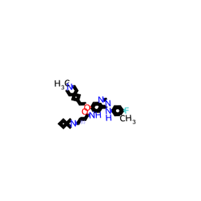 Cc1cc(Nc2ncnc3cc(OCCC4CC5(CCN(C)CC5)C4)c(NC(=O)/C=C/CN4CC5(CCC5)C4)cc23)ccc1F